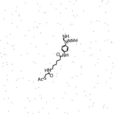 CNN(C=N)c1ccc(NC(=O)CCCCCNC(=O)CSC(C)=O)cc1